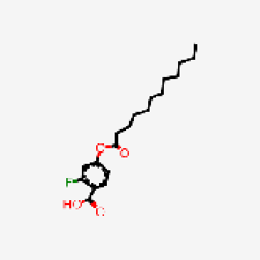 CCCCCCCCCCCC(=O)Oc1ccc(C(=O)O)c(F)c1